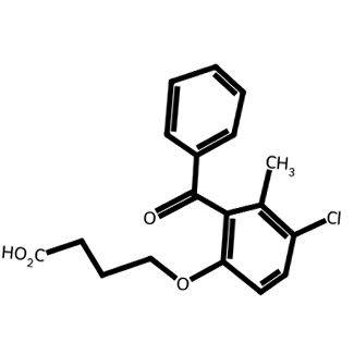 Cc1c(Cl)ccc(OCCCC(=O)O)c1C(=O)c1ccccc1